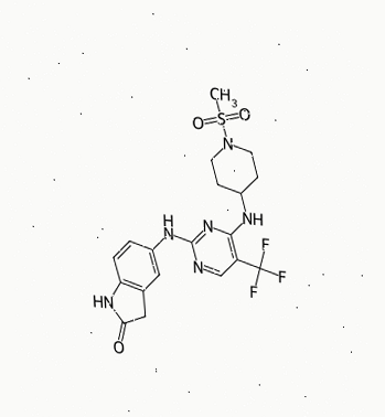 CS(=O)(=O)N1CCC(Nc2nc(Nc3ccc4c(c3)CC(=O)N4)ncc2C(F)(F)F)CC1